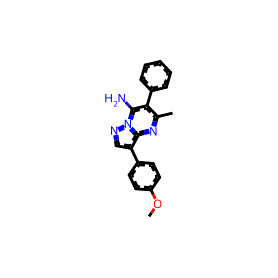 COc1ccc(-c2cnn3c(N)c(-c4ccccc4)c(C)nc23)cc1